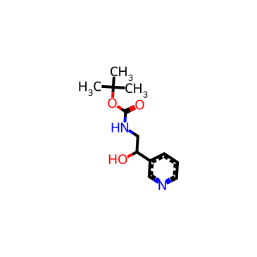 CC(C)(C)OC(=O)NCC(O)c1cccnc1